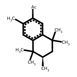 CC(=O)c1cc2c(cc1C)C(C)(C)[C@H](C)CC2(C)C